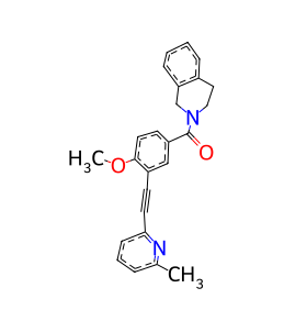 COc1ccc(C(=O)N2CCc3ccccc3C2)cc1C#Cc1cccc(C)n1